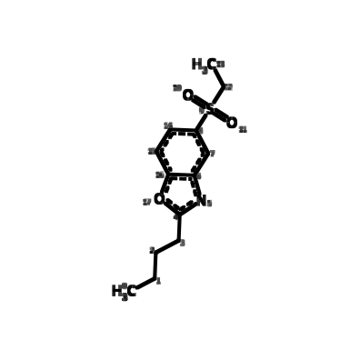 CCCCc1nc2cc(S(=O)(=O)CC)ccc2o1